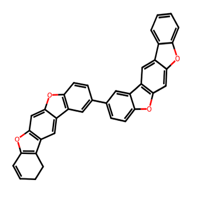 C1=Cc2oc3cc4oc5ccc(-c6ccc7oc8cc9oc%10ccccc%10c9cc8c7c6)cc5c4cc3c2CC1